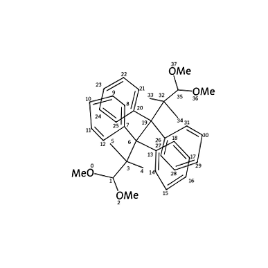 COC(OC)C(C)(C)C(c1ccccc1)(c1ccccc1)C(c1ccccc1)(c1ccccc1)C(C)(C)C(OC)OC